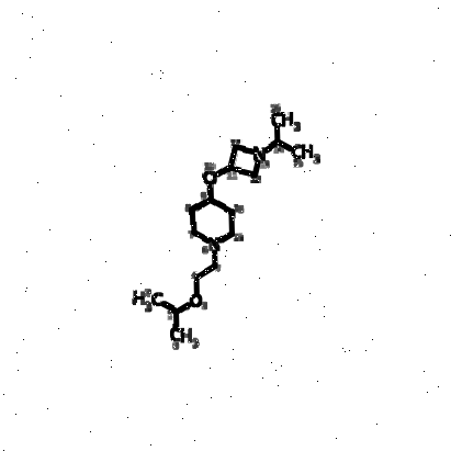 CC(C)OCCN1CCC(OC2CN(C(C)C)C2)CC1